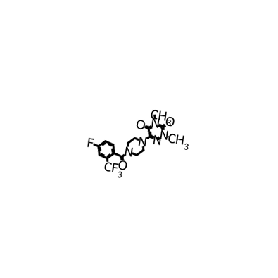 Cn1nc(N2CCN(C(=O)c3ccc(F)cc3C(F)(F)F)CC2)c(=O)n(C)c1=O